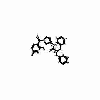 Cc1ccc(C(=O)N2CCC(NC(=O)N(Cc3ccccc3)Cc3ccccc3)C2)c(Cl)n1